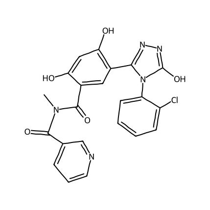 CN(C(=O)c1cccnc1)C(=O)c1cc(-c2nnc(O)n2-c2ccccc2Cl)c(O)cc1O